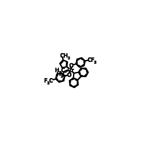 CC1=CC[C]([Zr]([O]c2ccc(C(F)(F)F)cc2)([O]c2ccc(C(F)(F)F)cc2)(=[C](C)C)[CH]2c3ccccc3-c3ccccc32)=C1